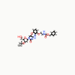 CC(C)(C)[Si](C)(C)O[C@@H]1C[C@H](n2cc3c(nc2=O)Nc2c(OCCNC(=O)OCc4ccccc4)cccc2O3)O[C@@H]1CO